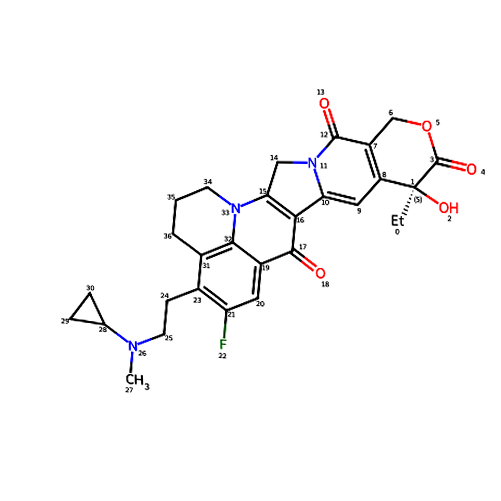 CC[C@@]1(O)C(=O)OCc2c1cc1n(c2=O)Cc2c-1c(=O)c1cc(F)c(CCN(C)C3CC3)c3c1n2CCC3